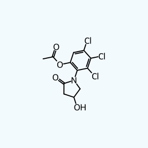 CC(=O)Oc1cc(Cl)c(Cl)c(Cl)c1N1CC(O)CC1=O